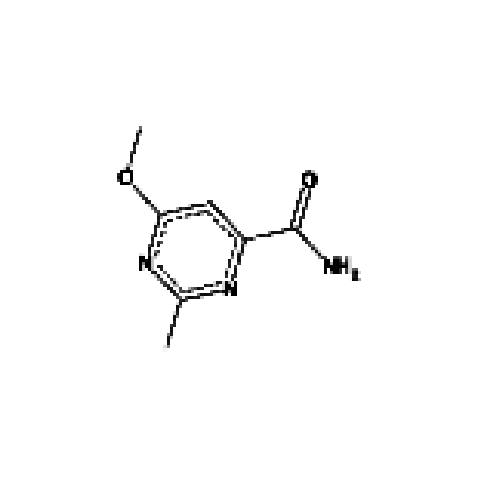 COc1cc(C(N)=O)nc(C)n1